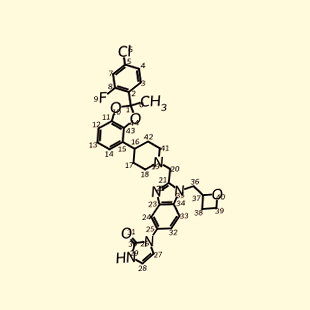 CC1(c2ccc(Cl)cc2F)Oc2cccc(C3CCN(Cc4nc5cc(-n6cc[nH]c6=O)ccc5n4CC4CCO4)CC3)c2O1